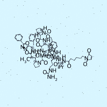 CC[C@H](C)[C@@H](C(CC(=O)N1CCC[C@H]1C(OC)[C@@H](C)C(=O)N[C@@H](Cc1ccccc1)c1nnc(-c2ccccc2)o1)OC)N(C)C(=O)[C@@H](NC(=O)C1[C@H]2CC[C@H](C2)N1C(=O)OCc1ccc(NC(=O)[C@H](CCCNC(N)=O)NC(=O)[C@@H](NC(=O)CCCCCN2C(=O)C=CC2=O)C(C)C)cc1)C(C)C